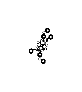 O=C(O)C1C(C(=O)N(CCc2ccccc2)Cc2ccc(Oc3ccccc3)cc2)C(C(=O)O)C1C(=O)N(CCc1ccccc1)Cc1ccc(Oc2ccccc2)cc1